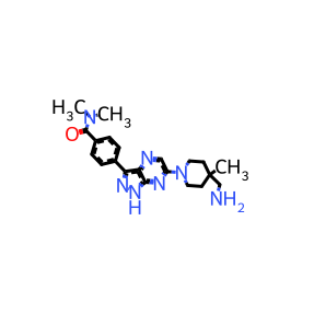 CN(C)C(=O)c1ccc(-c2n[nH]c3nc(N4CCC(C)(CN)CC4)cnc23)cc1